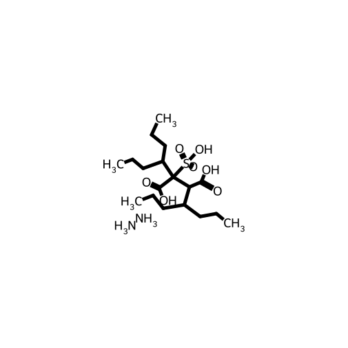 CCCC(CCC)C(C(=O)O)C(C(=O)O)(C(CCC)CCC)S(=O)(=O)O.N.N